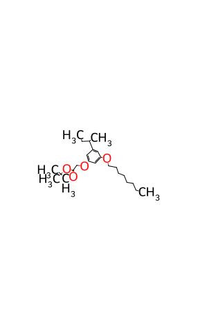 CCCCCCCCOc1cc(OCC(=O)OC(C)(C)C)cc(C(C)CC)c1